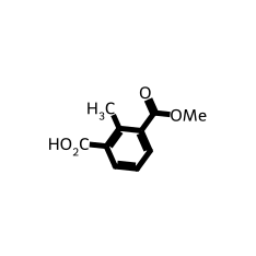 COC(=O)c1cccc(C(=O)O)c1C